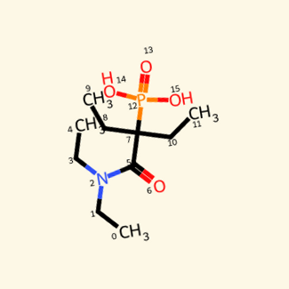 CCN(CC)C(=O)C(CC)(CC)P(=O)(O)O